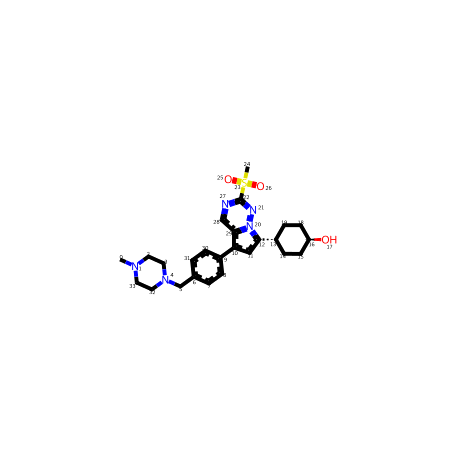 CN1CCN(Cc2ccc(-c3cc([C@H]4CC[C@H](O)CC4)n4nc(S(C)(=O)=O)ncc34)cc2)CC1